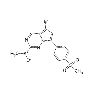 C[S+]([O-])c1ncc2c(Br)cc(-c3ccc(S(C)(=O)=O)cc3)n2n1